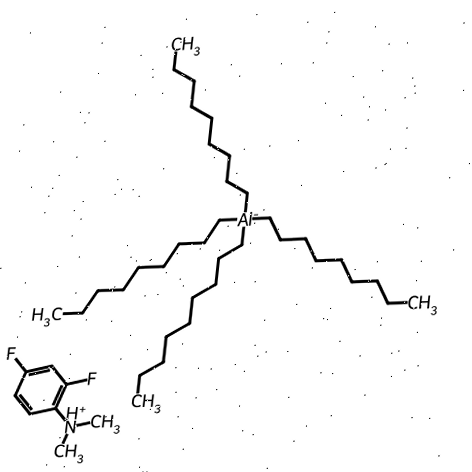 CCCCCCCC[CH2][Al-]([CH2]CCCCCCCC)([CH2]CCCCCCCC)[CH2]CCCCCCCC.C[NH+](C)c1ccc(F)cc1F